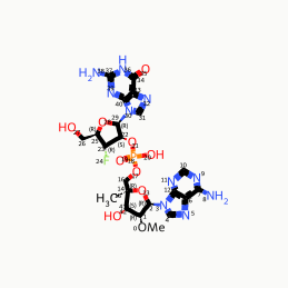 CO[C@H]1[C@H](n2cnc3c(N)ncnc32)O[C@](C)(COP(=O)(O)O[C@@H]2[C@H](F)[C@@H](CO)O[C@H]2n2cnc3c(=O)[nH]c(N)nc32)[C@H]1O